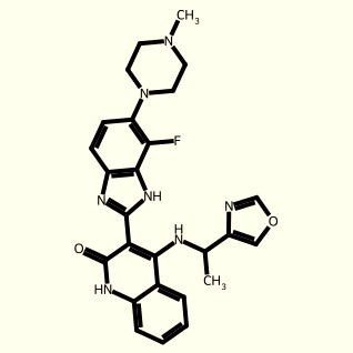 CC(Nc1c(-c2nc3ccc(N4CCN(C)CC4)c(F)c3[nH]2)c(=O)[nH]c2ccccc12)c1cocn1